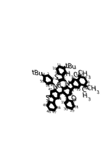 CC(C)(C)c1ccc(N2B3c4sc5ccc(C(C)(C)C)cc5c4-n4c5cc6c(cc5c5c7oc8ccccc8c7c(c3c54)-c3cc4c(cc32)sc2ccccc24)C(C)(C)CCC6(C)C)cc1